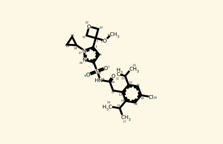 COC1(c2cc(S(=O)(=O)NC(=O)Cc3c(C(C)C)cc(Cl)cc3C(C)C)nn2C2CC2)COC1